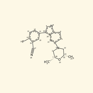 C[C@@H]1CN(c2ccc3ncc(-c4ccc(F)c(C#N)c4)n3n2)C[C@H](C)O1